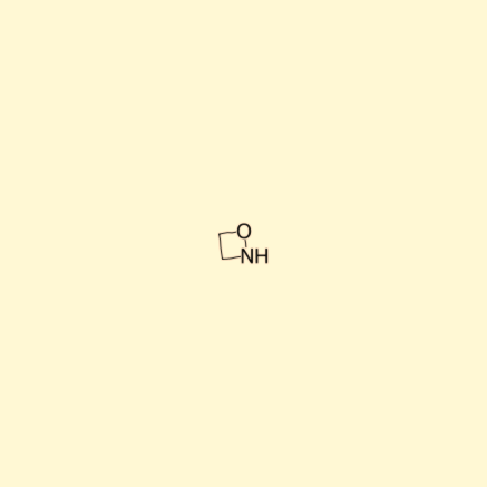 C1CON1